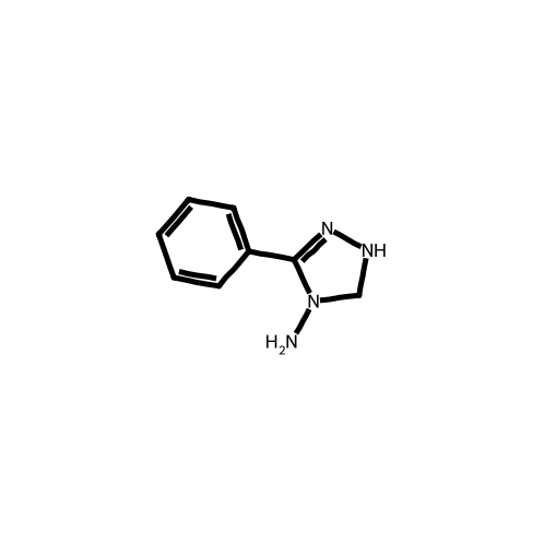 NN1CNN=C1c1ccccc1